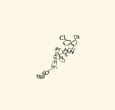 CC(C)C1=C(C(=O)N2[C@H](C)CC[C@H]2C(=O)N2CCN(CCO[Si](C)(C)C(C)(C)C)[C@H](C)C2)SC2=N[C@@](C)(c3ccc(C#N)cc3)[C@@H](c3ccc(Cl)cc3)N21